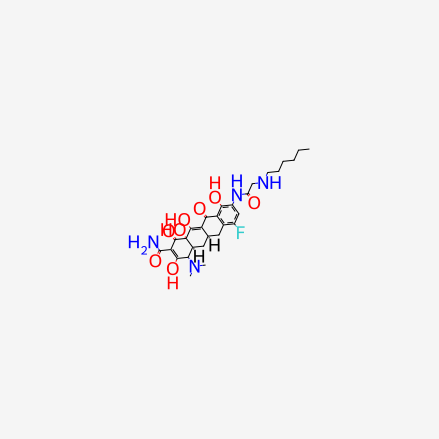 CCCCCCNCC(=O)Nc1cc(F)c2c(c1O)C(=O)C1=C(O)[C@]3(O)C(=O)C(C(N)=O)=C(O)[C@@H](N(C)C)[C@@H]3C[C@@H]1C2